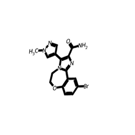 Cn1cc(-c2c(C(N)=O)nc3n2CCOc2ccc(Br)cc2-3)cn1